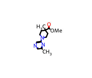 COC(=O)C1(C)CCN(c2cncc(C)n2)CC1